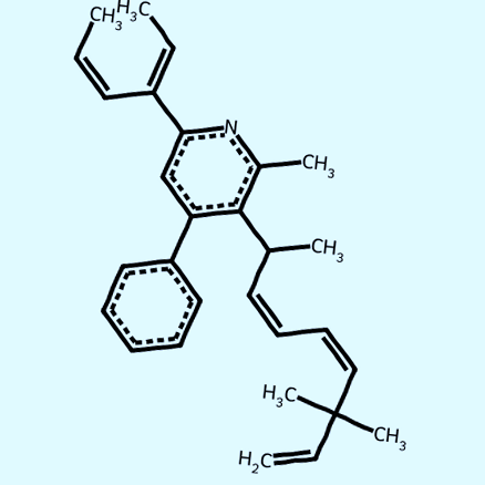 C=CC(C)(C)/C=C\C=C/C(C)c1c(-c2ccccc2)cc(C(/C=C\C)=C/C)nc1C